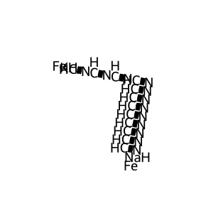 C#N.C#N.C#N.C#N.C#N.C#N.C#N.C#N.C#N.C#N.C#N.C#N.[Fe].[Fe].[KH].[NaH]